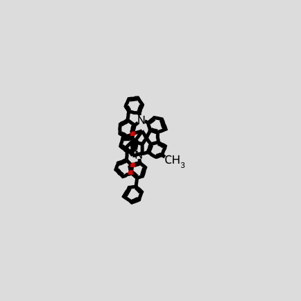 Cc1cc2c(c(N(c3ccc(-c4ccccc4)cc3)c3ccccc3-c3ccccc3)c1)C1(c3c-2cccc3-n2c3ccccc3c3ccccc32)C2CC3CC(C2)C1C3